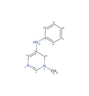 CN1C=NC=C(Nc2ccccc2)C1